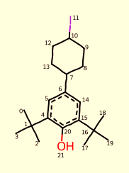 CC(C)(C)c1cc(C2CCC(I)CC2)cc(C(C)(C)C)c1O